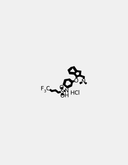 CN(C)CC1Cc2ccccc2C1Oc1cccc(NS(=O)(=O)CCCC(F)(F)F)c1.Cl